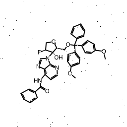 COc1ccc(C(OC[C@@H]2OC[C@H](F)[C@]2(O)n2cnc3c(NC(=O)c4ccccc4)ccnc32)(c2ccccc2)c2ccc(OC)cc2)cc1